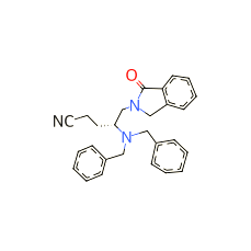 N#CCC[C@H](CN1Cc2ccccc2C1=O)N(Cc1ccccc1)Cc1ccccc1